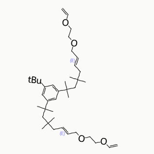 C=COCCOC/C=C/CC(C)(C)CC(C)(C)c1cc(C(C)(C)C)cc(C(C)(C)CC(C)(C)C/C=C/COCCOC=C)c1